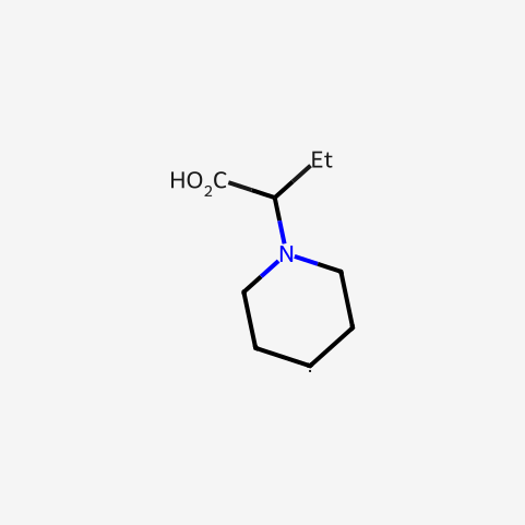 CCC(C(=O)O)N1CC[CH]CC1